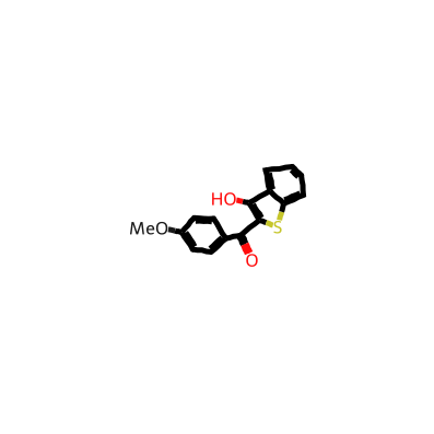 COc1ccc(C(=O)c2sc3ccccc3c2O)cc1